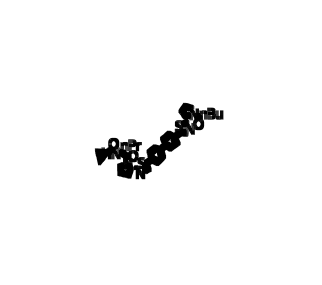 CCCCC(=O)N1CCC[C@H]1c1ncc(-c2ccc(-c3ccc(-c4cnc([C@@H]5CCCN5C(=O)C(CCC)NC(=O)C5CC5)s4)cc3)cc2)s1